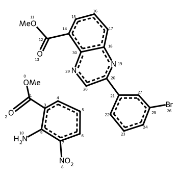 COC(=O)c1cccc([N+](=O)[O-])c1N.COC(=O)c1cccc2nc(-c3cccc(Br)c3)cnc12